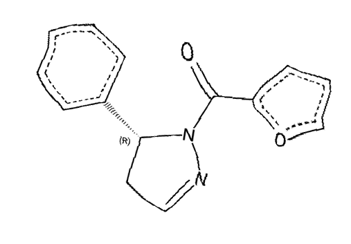 O=C(c1ccco1)N1N=CC[C@@H]1c1ccccc1